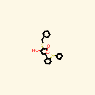 O=c1oc(-c2ccccc2Sc2ccccc2)cc(O)c1SCCc1ccccc1